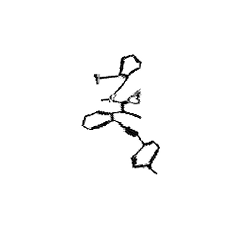 C=C(C(=O)N(C)c1ccccc1I)c1ccccc1C#Cc1ccc(C)cc1